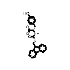 [O]C(=O)[C@H](Cc1ccc(O)cc1)NC(=O)OCC1c2ccccc2-c2ccccc21